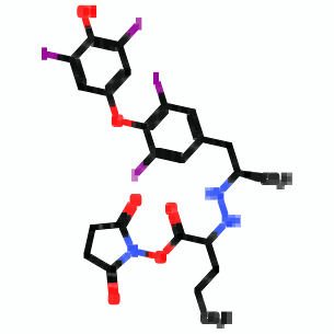 O=C(O)CCC(NN[C@@H](Cc1cc(I)c(Oc2cc(I)c(O)c(I)c2)c(I)c1)C(=O)O)C(=O)ON1C(=O)CCC1=O